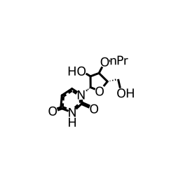 CCCOC1C(O)[C@@H](n2ccc(=O)[nH]c2=O)O[C@H]1CO